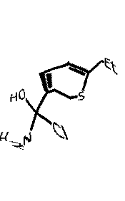 CCc1ccc(C(N)(O)Cl)s1